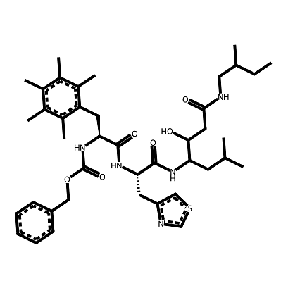 CCC(C)CNC(=O)CC(O)C(CC(C)C)NC(=O)[C@H](Cc1cscn1)NC(=O)[C@H](Cc1c(C)c(C)c(C)c(C)c1C)NC(=O)OCc1ccccc1